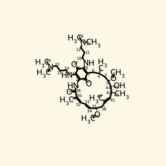 CO[C@H]1C[C@H](C)CC2=C(NCCCN(C)C)C(=O)C(NCCCN(C)C)=C(NC(=O)/C(C)=C\C=C\[C@@H](OC)[CH]/C(C)=C/[C@H](C)[C@H]1O)C2=O